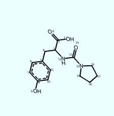 O=C(O)C(Cc1ccc(O)cc1)NC(=O)N1CCCC1